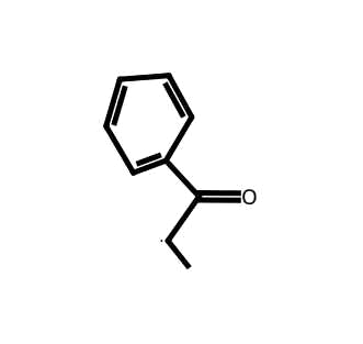 C[CH]C(=O)c1ccccc1